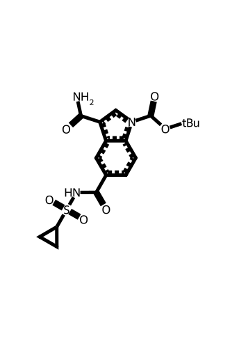 CC(C)(C)OC(=O)n1cc(C(N)=O)c2cc(C(=O)NS(=O)(=O)C3CC3)ccc21